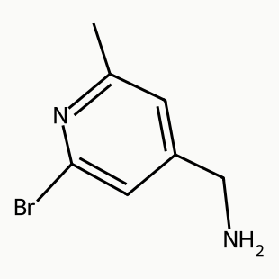 Cc1cc(CN)cc(Br)n1